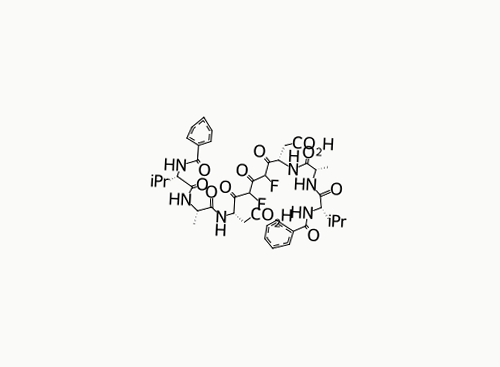 CC(C)[C@H](NC(=O)c1ccccc1)C(=O)N[C@@H](C)C(=O)N[C@@H](CC(=O)O)C(=O)C(F)C(=O)C(F)C(=O)[C@H](CC(=O)O)NC(=O)[C@H](C)NC(=O)[C@@H](NC(=O)c1ccccc1)C(C)C